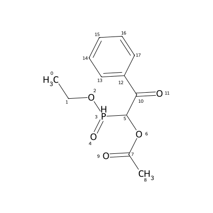 CCO[PH](=O)C(OC(C)=O)C(=O)c1ccccc1